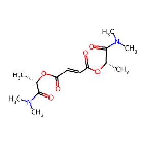 C[C@H](OC(=O)/C=C/C(=O)O[C@@H](C)C(=O)N(C)C)C(=O)N(C)C